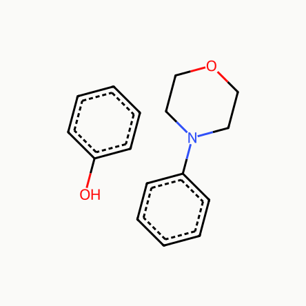 Oc1ccccc1.c1ccc(N2CCOCC2)cc1